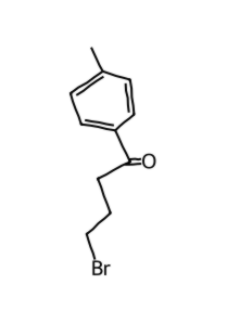 Cc1ccc(C(=O)CCCBr)cc1